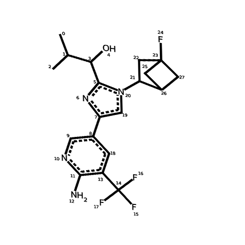 CC(C)C(O)c1nc(-c2cnc(N)c(C(F)(F)F)c2)cn1C1CC2(F)CC1C2